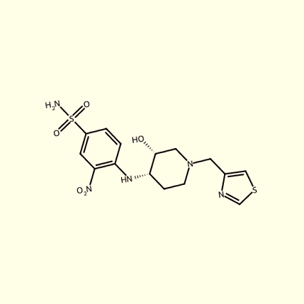 NS(=O)(=O)c1ccc(N[C@H]2CCN(Cc3cscn3)C[C@H]2O)c([N+](=O)[O-])c1